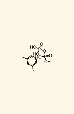 Cc1cccc(C)c1.O=P(O)(O)OP(=O)(O)O